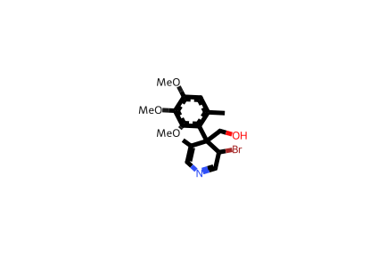 COc1cc(C)c(C2(CO)C(C)=CN=CC2Br)c(OC)c1OC